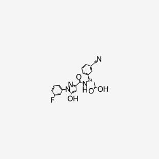 N#Cc1cccc([C@H](CC(=O)O)NC(=O)c2cc(O)n(-c3cccc(F)c3)n2)c1